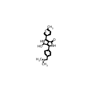 Cc1ccc(C2=C3C(=O)NC(c4ccc(CN(C)C)cc4)=C3C(O)N2)cc1